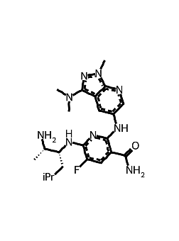 CC(C)C[C@@H](Nc1nc(Nc2cnc3c(c2)c(N(C)C)nn3C)c(C(N)=O)cc1F)[C@H](C)N